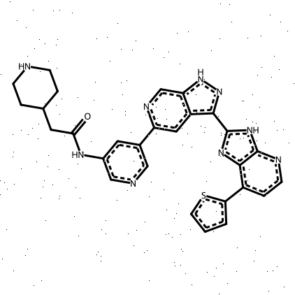 O=C(CC1CCNCC1)Nc1cncc(-c2cc3c(-c4nc5c(-c6cccs6)ccnc5[nH]4)n[nH]c3cn2)c1